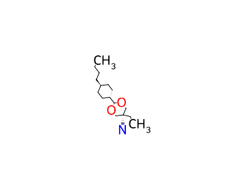 CCCC[C@H]1CC[C@H]([C@H]2OC[C@](C#N)(CC)CO2)CC1